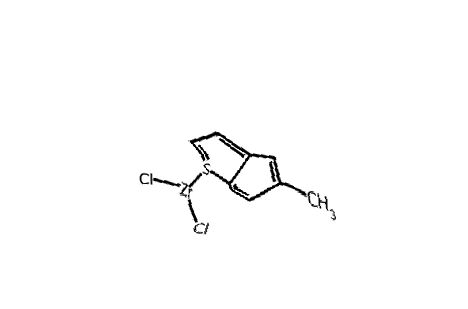 CC1=CC2=CC=[S]([Zr]([Cl])[Cl])C2=C1